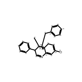 CS1=C2C(c3ccccc3)C=NC3=CC(Cl)=CCC32CC1Cc1ccccc1